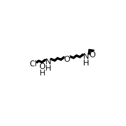 OC(CCl)CNCCCCCOCCCCCNC1CCO1